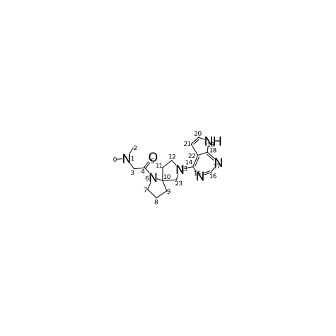 CN(C)CC(=O)N1CCCC12CCN(c1ncnc3[nH]ccc13)C2